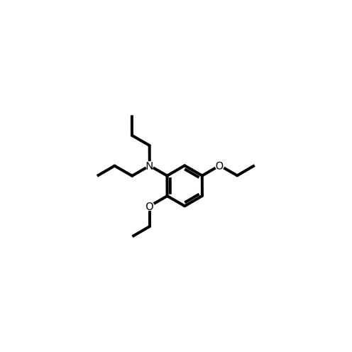 CCCN(CCC)c1cc(OCC)ccc1OCC